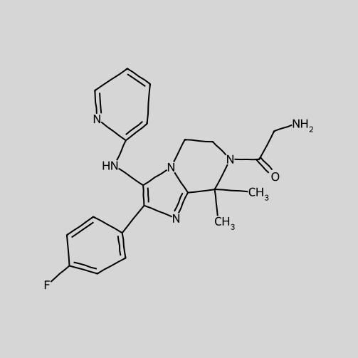 CC1(C)c2nc(-c3ccc(F)cc3)c(Nc3ccccn3)n2CCN1C(=O)CN